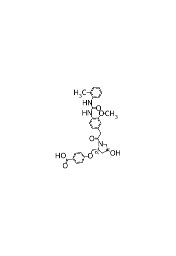 COc1cc(CC(=O)N2C[C@H](O)C[C@H]2COc2ccc(C(=O)O)cc2)ccc1NC(=O)Nc1ccccc1C